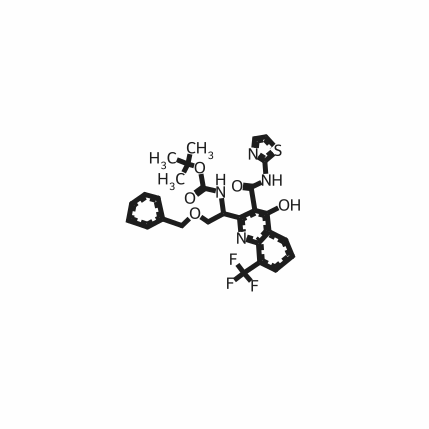 CC(C)(C)OC(=O)NC(COCc1ccccc1)c1nc2c(C(F)(F)F)cccc2c(O)c1C(=O)Nc1nccs1